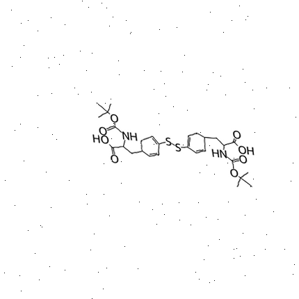 CC(C)(C)OC(=O)NC(CC1C=CC(SSC2=CCC(CC(NC(=O)OC(C)(C)C)C(=O)O)C=C2)=CC1)C(=O)O